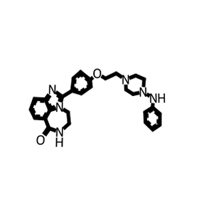 O=C1NCCn2c(-c3ccc(OCCN4CCN(Nc5ccccc5)CC4)cc3)nc3cccc1c32